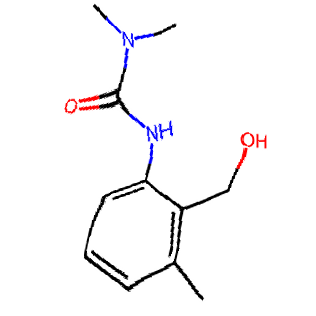 Cc1cccc(NC(=O)N(C)C)c1CO